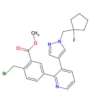 COC(=O)c1cc(-c2ncccc2-c2cnn(CC3(F)CCCC3)c2)ccc1CBr